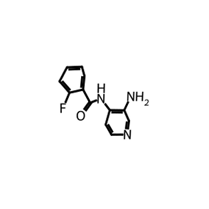 Nc1cnccc1NC(=O)c1ccccc1F